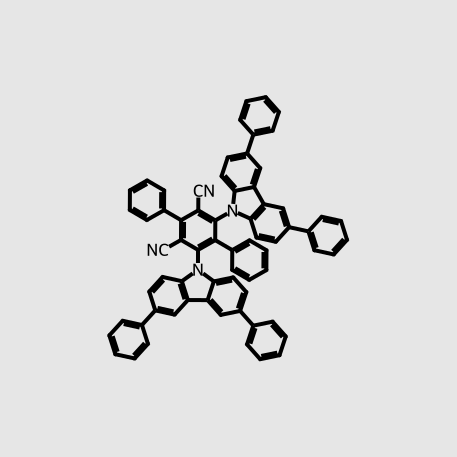 N#Cc1c(-c2ccccc2)c(C#N)c(-n2c3ccc(-c4ccccc4)cc3c3cc(-c4ccccc4)ccc32)c(-c2ccccc2)c1-n1c2ccc(-c3ccccc3)cc2c2cc(-c3ccccc3)ccc21